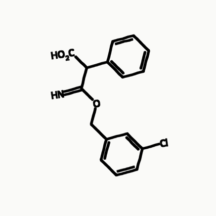 N=C(OCc1cccc(Cl)c1)C(C(=O)O)c1ccccc1